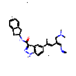 C=N/C=C(\C=C(/C)c1ccc2[nH]nc(C(=O)NC3Cc4ccccc4C3)c2c1)CN(C)C